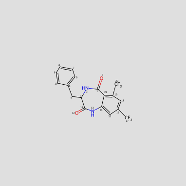 O=C1NC(Cc2ccccc2)C(=O)Nc2cc(C(F)(F)F)cc(C(F)(F)F)c21